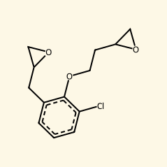 Clc1cccc(CC2CO2)c1OCCC1CO1